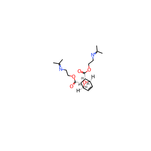 CC(C)=NCCOC(=O)[C@@H]1[C@H](C(=O)OCCN=C(C)C)[C@H]2C=C[C@@H]1O2